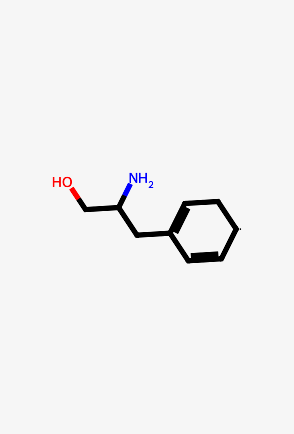 NC(CO)CC1=CC[CH]C=C1